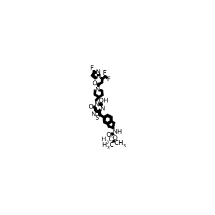 CC(C)(C)OC(=O)NC1Cc2ccc(-c3snc4c(=O)n(CC5(O)CCN(C(=O)CC(C(F)F)n6ccc(F)n6)CC5)cnc34)cc2C1